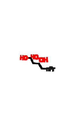 CCCCCCCO.OO